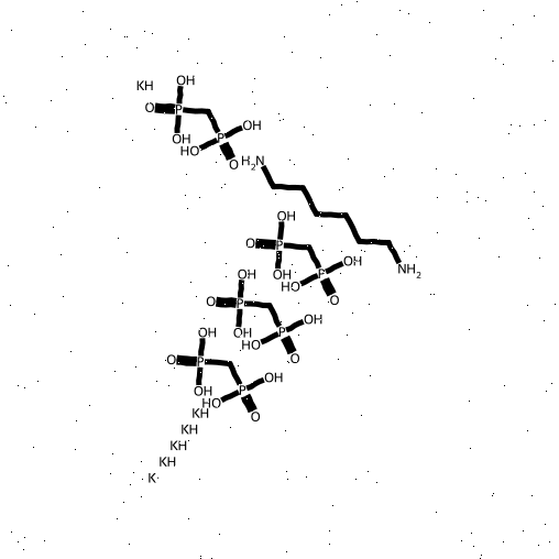 NCCCCCCN.O=P(O)(O)CP(=O)(O)O.O=P(O)(O)CP(=O)(O)O.O=P(O)(O)CP(=O)(O)O.O=P(O)(O)CP(=O)(O)O.[KH].[KH].[KH].[KH].[KH].[K]